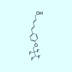 OC/C=C/C=C/c1ccc(OCC(F)(F)C(F)F)cc1